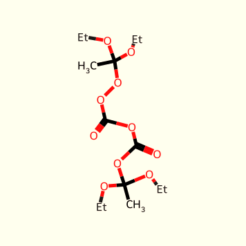 CCOC(C)(OCC)OOC(=O)OC(=O)OC(C)(OCC)OCC